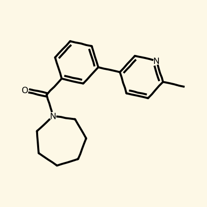 Cc1ccc(-c2cccc(C(=O)N3CCCCCC3)c2)cn1